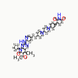 CC(=O)c1c(C)c2cnc(Nc3ccc(CCC4CCN(C5CCN(c6ccc(C7CCC(=O)NC7=O)cc6)CC5)CC4)cn3)nc2n(C2CCCC2)c1=O